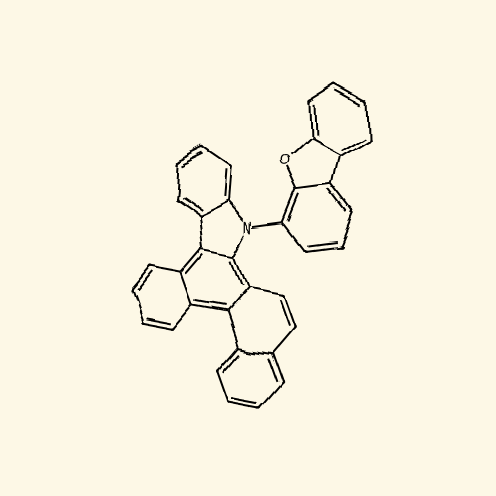 c1ccc2c(c1)ccc1c2c2ccccc2c2c3ccccc3n(-c3cccc4c3oc3ccccc34)c12